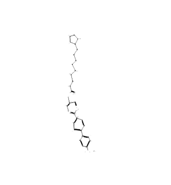 CCCCCc1ccc(-c2ccc(-c3ncc(OC(=O)CCCCCCCCC4CCCC4)cn3)cc2)cc1